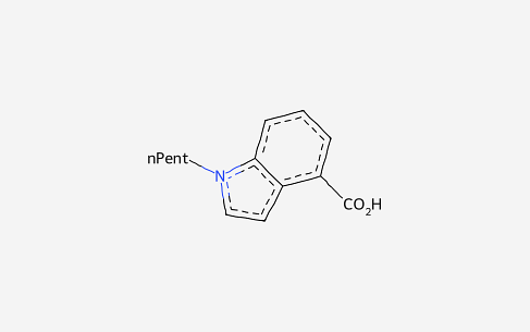 CCCCCn1ccc2c(C(=O)O)cccc21